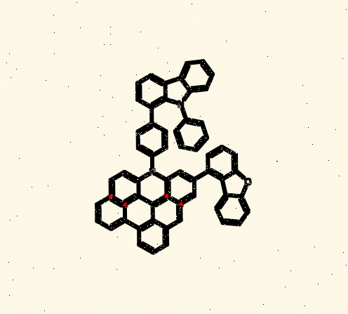 c1ccc(-c2cccc3cccc(-c4ccccc4N(c4ccc(-c5cccc6c7ccccc7n(-c7ccccc7)c56)cc4)c4cccc(-c5cccc6oc7ccccc7c56)c4)c23)cc1